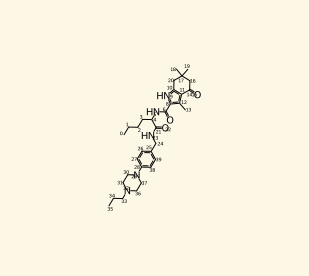 CCCCC(NC(=O)c1[nH]c2c(c1C)C(=O)CC(C)(C)C2)C(=O)NCc1ccc(N2CCN(CCC)CC2)cc1